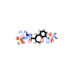 CN(C)S(=O)(=O)Nc1cccc2c1OCCC(C(=O)N=C(N)NOS(C)(=O)=O)=C2